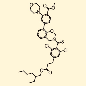 CCCCC(CC)COC(=O)CCc1cc(Cl)c(C(=S)N2COc3c(cccc3-c3ccc(C(=O)OC)c(N4CCOCC4)c3)C2)c(Cl)c1